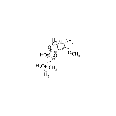 C=C1N=C(N)C(COC)=CN1[C@@H]1O[C@H](CCP(=C)(C)C)[C@@H](O)[C@H]1O